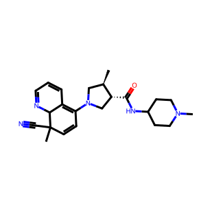 C[C@@H]1CN(C2=C3C=CC=NC3C(C)(C#N)C=C2)C[C@H]1C(=O)NC1CCN(C)CC1